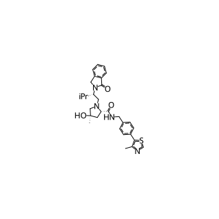 Cc1ncsc1-c1ccc(CNC(=O)[C@@H]2C[C@@](C)(O)CN2C[C@H](C(C)C)N2Cc3ccccc3C2=O)cc1